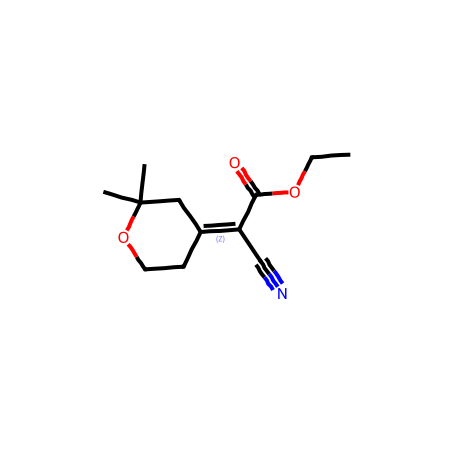 CCOC(=O)/C(C#N)=C1/CCOC(C)(C)C1